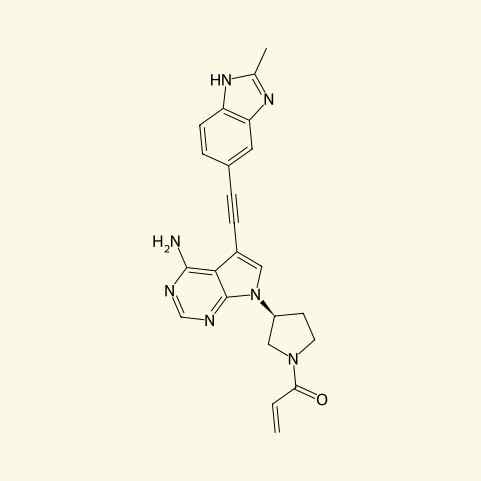 C=CC(=O)N1CC[C@H](n2cc(C#Cc3ccc4[nH]c(C)nc4c3)c3c(N)ncnc32)C1